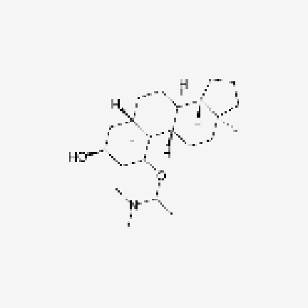 CC(OC1C[C@@H](O)C[C@@H]2CC[C@H]3[C@@H]4CCC[C@@]4(C)CC[C@@H]3[C@@]12C)N(C)C